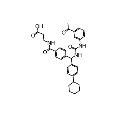 CC(=O)c1cccc(NC(=O)NC(c2ccc(C(=O)NCCC(=O)O)cc2)c2ccc(C3CCCCC3)cc2)c1